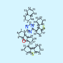 C1=CC(c2nc(-c3cccc4oc5c(-c6cccc7sc8ccccc8c67)cccc5c34)nc(-c3cccc4sc5ccccc5c34)n2)Cc2ccccc21